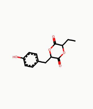 CCC1OC(=O)C(Cc2ccc(O)cc2)OC1=O